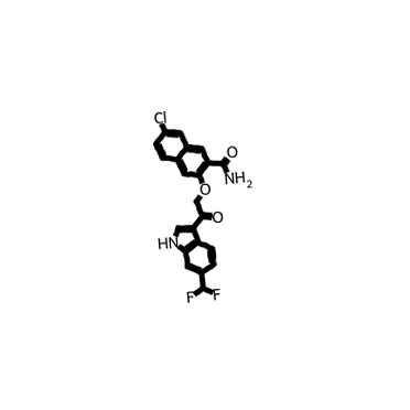 NC(=O)c1cc2cc(Cl)ccc2cc1OCC(=O)c1c[nH]c2cc(C(F)F)ccc12